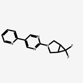 FC1(F)C2CN(c3ncc(-c4ccccn4)cn3)CC21